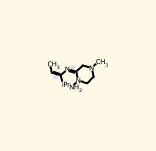 C/C=C(\N=C1\CN(C)CCN1N)C(C)C